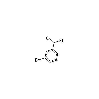 CCC(Cl)c1cccc(Br)c1